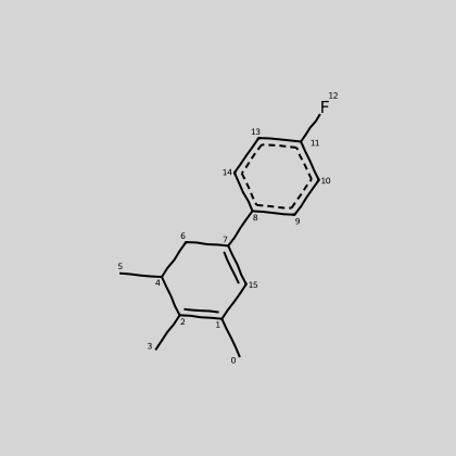 CC1=C(C)C(C)CC(c2ccc(F)cc2)=C1